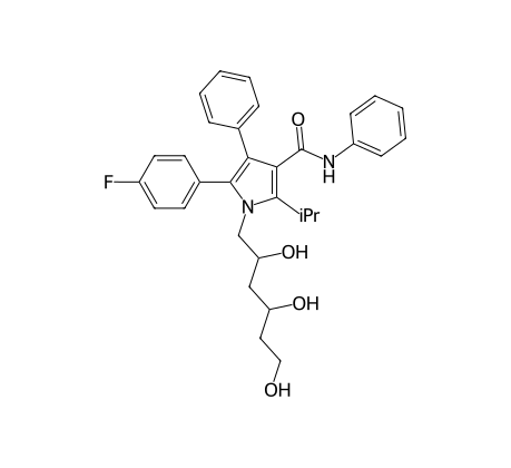 CC(C)c1c(C(=O)Nc2ccccc2)c(-c2ccccc2)c(-c2ccc(F)cc2)n1CC(O)CC(O)CCO